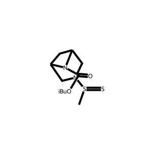 CC(C)COC(=O)N1C2CC1CN(S(C)=S)C2